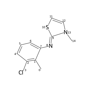 Cc1c(Cl)cccc1N=c1sccn1C